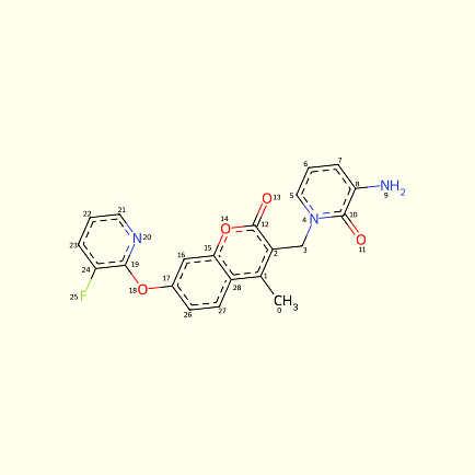 Cc1c(Cn2cccc(N)c2=O)c(=O)oc2cc(Oc3ncccc3F)ccc12